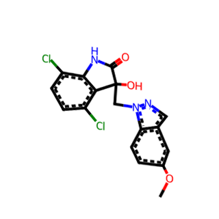 COc1ccc2c(cnn2CC2(O)C(=O)Nc3c(Cl)ccc(Cl)c32)c1